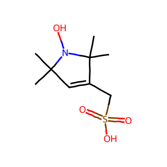 CC1(C)C=C(CS(=O)(=O)O)C(C)(C)N1O